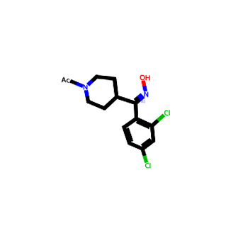 CC(=O)N1CCC(/C(=N\O)c2ccc(Cl)cc2Cl)CC1